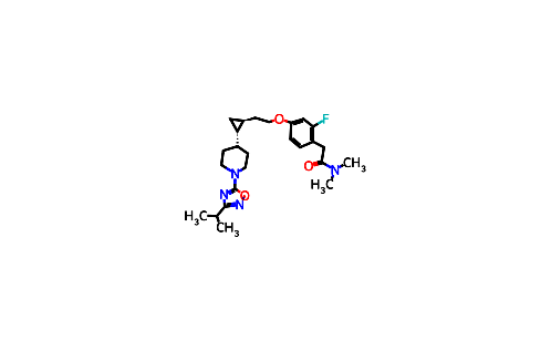 CC(C)c1noc(N2CCC([C@@H]3C[C@H]3CCOc3ccc(CC(=O)N(C)C)c(F)c3)CC2)n1